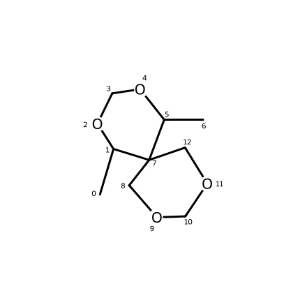 CC1OCOC(C)C12COCOC2